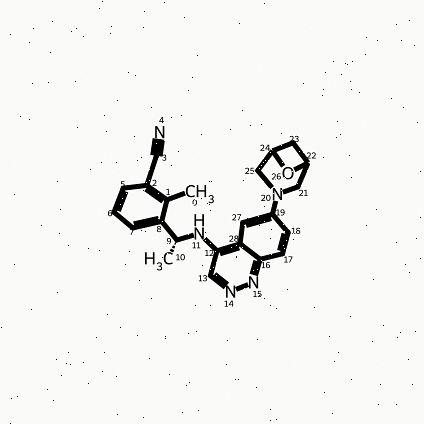 Cc1c(C#N)cccc1[C@@H](C)Nc1cnnc2ccc(N3CC4CC(C3)O4)cc12